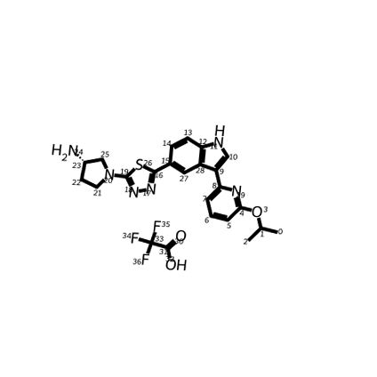 CC(C)Oc1cccc(-c2c[nH]c3ccc(-c4nnc(N5CC[C@H](N)C5)s4)cc23)n1.O=C(O)C(F)(F)F